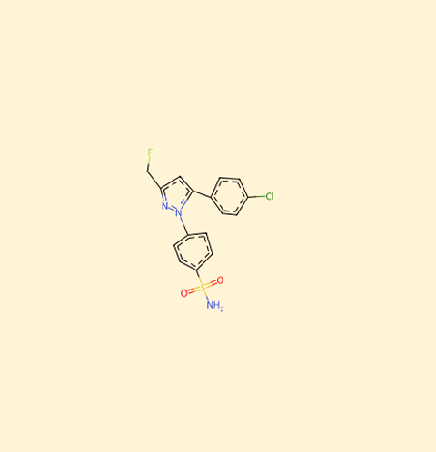 NS(=O)(=O)c1ccc(-n2nc(CF)cc2-c2ccc(Cl)cc2)cc1